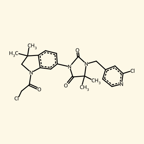 CC1(C)CN(C(=O)CCl)c2cc(N3C(=O)N(Cc4ccnc(Cl)c4)C(C)(C)C3=O)ccc21